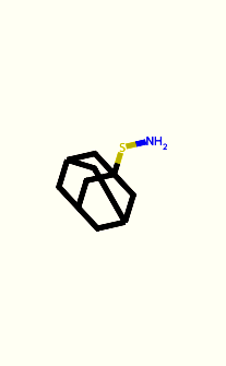 NSC12CC3CC(CC(C3)C1)C2